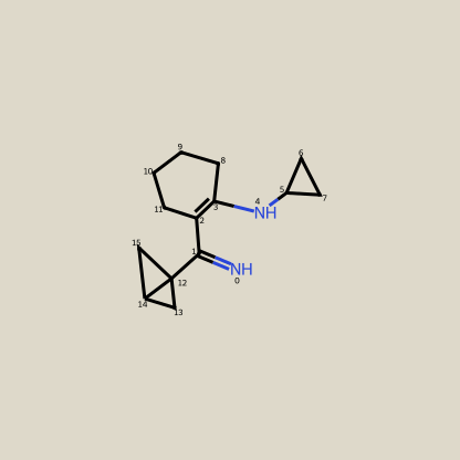 N=C(C1=C(NC2CC2)CCCC1)C12CC1C2